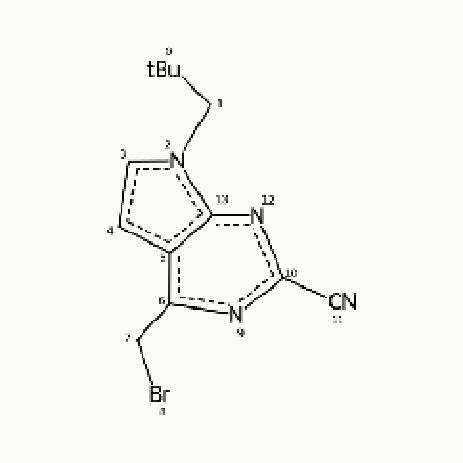 CC(C)(C)Cn1ccc2c(CBr)nc(C#N)nc21